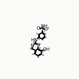 NS(=O)(=O)c1cccc(Nc2ncc3cccc(O)c3n2)c1